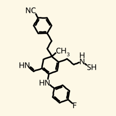 CC1(CCc2ccc(C#N)cc2)CC(C=N)=C(Nc2ccc(F)cc2)C=C1CCNS